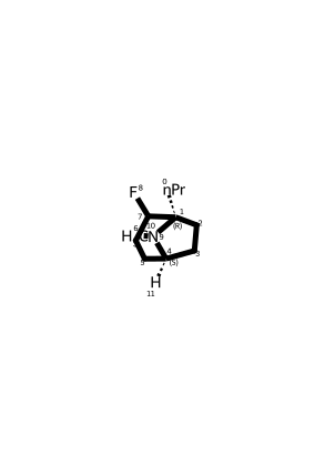 CCC[C@@]12CC[C@@H](CCC1F)N2C